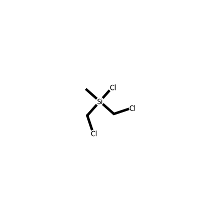 C[Si](Cl)(CCl)CCl